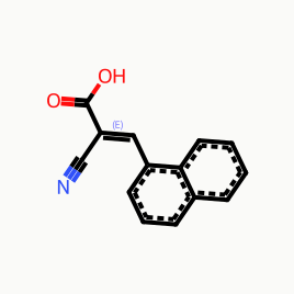 N#C/C(=C\c1cccc2ccccc12)C(=O)O